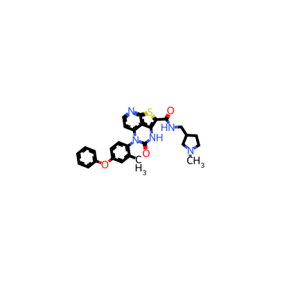 Cc1cc(Oc2ccccc2)ccc1N1C(=O)Nc2c(C(=O)NCC3CCN(C)C3)sc3nccc1c23